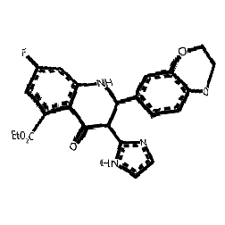 CCOC(=O)c1cc(F)cc2c1C(=O)C(c1ncc[nH]1)C(c1ccc3c(c1)OCCO3)N2